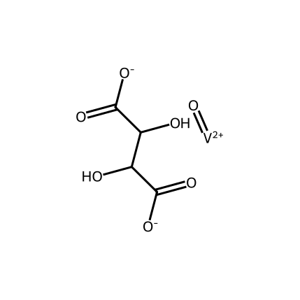 O=C([O-])C(O)C(O)C(=O)[O-].[O]=[V+2]